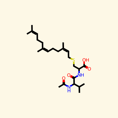 CC(=O)NC(C(=O)NC(CSCC=C(C)CCC=C(C)CCC=C(C)C)C(=O)O)C(C)C